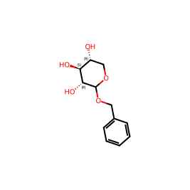 O[C@H]1[C@H](O)COC(OCc2ccccc2)[C@@H]1O